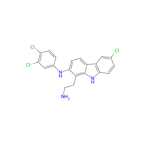 NCCc1c(Nc2ccc(Cl)c(Cl)c2)ccc2c1[nH]c1ccc(Cl)cc12